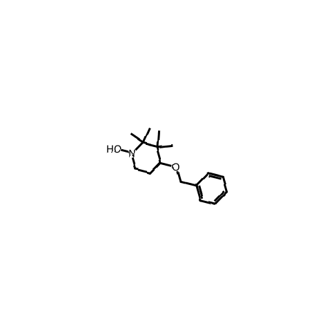 CC1(C)C(OCc2ccccc2)CCN(O)C1(C)C